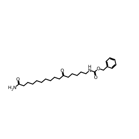 NC(=O)CCCCCCCCCC(=O)CCCCCNC(=O)OCc1ccccc1